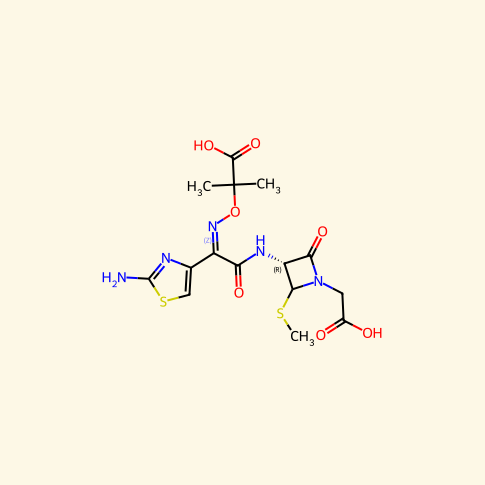 CSC1[C@H](NC(=O)/C(=N\OC(C)(C)C(=O)O)c2csc(N)n2)C(=O)N1CC(=O)O